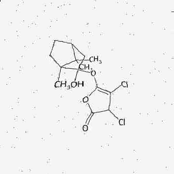 CC1(C)C2CCC1(C)C(O)(OC1=C(Cl)C(Cl)C(=O)O1)C2